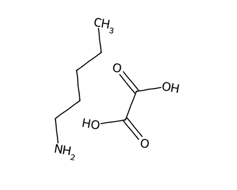 CCCCCN.O=C(O)C(=O)O